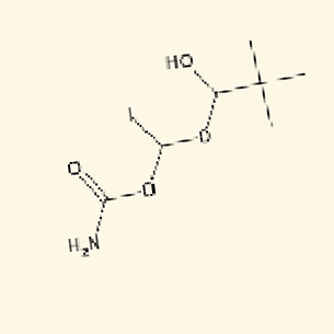 CC(C)(C)C(O)OC(I)OC(N)=O